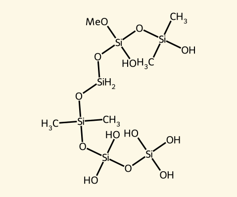 CO[Si](O)(O[SiH2]O[Si](C)(C)O[Si](O)(O)O[Si](O)(O)O)O[Si](C)(C)O